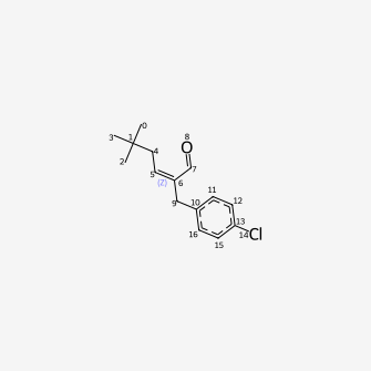 CC(C)(C)C/C=C(\C=O)Cc1ccc(Cl)cc1